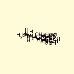 BNBNCC(O)C[n+]1ccc(CC(O)(P(=O)(O)O)P(=O)(O)O)cc1